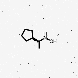 CC(NO)=C1CCCC1